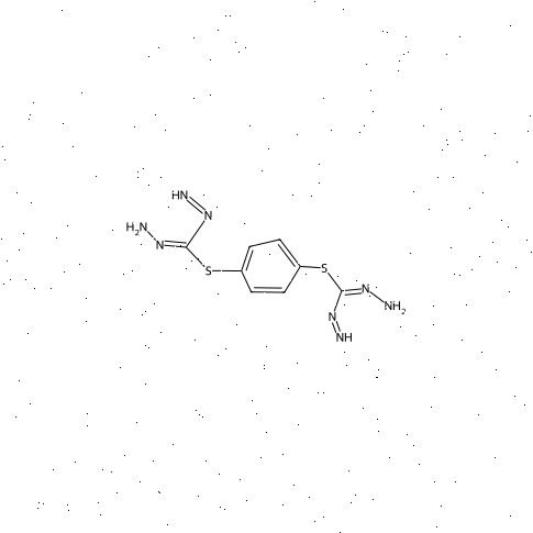 N=NC(=NN)Sc1ccc(SC(N=N)=NN)cc1